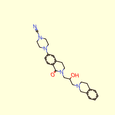 N#CN1CCN(c2ccc3c(c2)CCN(CC(O)CN2CCc4ccccc4C2)C3=O)CC1